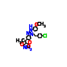 COc1cccc(Nc2nc3cc4c(C)c(C(N)=O)c(=O)oc4cc3n2CCc2ccc(Cl)cc2)c1